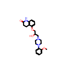 COc1ccccc1N1CCN(CC(O)COc2cccc3c2CCC(=O)N3)CC1